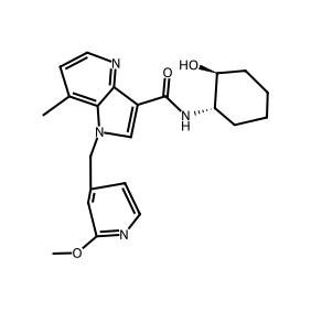 COc1cc(Cn2cc(C(=O)N[C@H]3CCCC[C@@H]3O)c3nccc(C)c32)ccn1